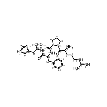 N=C(N)NCCCC(N)C(=O)N1CCCC1C(=O)NC(Cc1ccccc1)C(=O)NC([C]=O)Cc1c[nH]cn1